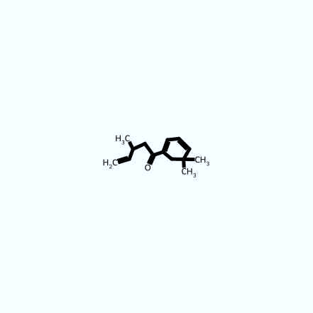 C=CC(C)CC(=O)C1=CC=CC(C)(C)C1